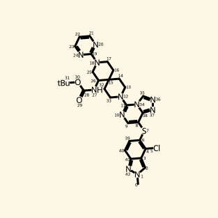 Cn1cc2c(Cl)c(Sc3cnc(N4CCC5(CCN(c6ncccn6)CC5NC(=O)OC(C)(C)C)CC4)n4cnnc34)ccc2n1